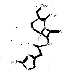 CC(=O)OCC1=C(C(=O)O)N2C(=O)C(NC(=O)Cc3csc(N)n3)[C@H]2SC1